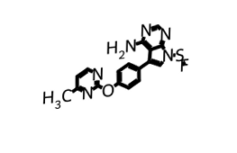 Cc1ccnc(Oc2ccc(-c3cn(SF)c4ncnc(N)c34)cc2)n1